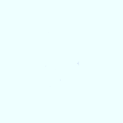 COC(=O)C(O)c1ccoc1